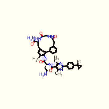 CCC1(c2ccc(-c3nc(C)c(C(=O)N[C@@H](CCN)C(=O)Nc4c(C)cc5cc4-c4cccc(c4)CC(=O)NCC(=O)NC(C(N)=O)C5)c(C)n3)cc2)CC1